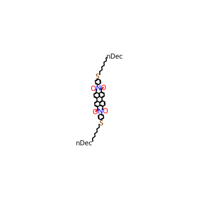 CCCCCCCCCCCCCCCCCCSc1ccc(N2C(=O)c3ccc4c5ccc6c7c(ccc(c8ccc(c3c48)C2=O)c75)C(=O)N(c2ccc(SCCCCCCCCCCCCCCCCCC)cc2)C6=O)cc1